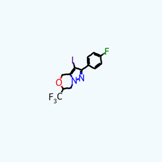 Fc1ccc(-c2nn3c(c2I)COC(C(F)(F)F)C3)cc1